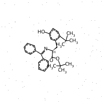 CC(C)(C)OC(=O)[C@H](Cc1cc(O)ccc1C(C)(C)C)N=C(c1ccccc1)c1ccccc1